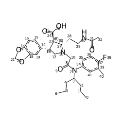 CCCC(CCC)N(C(=O)CN1C[C@H](c2ccc3c(c2)OCO3)[C@@H](C(=O)O)[C@@H]1CCNC(C)=O)c1ccc(F)c(C)c1